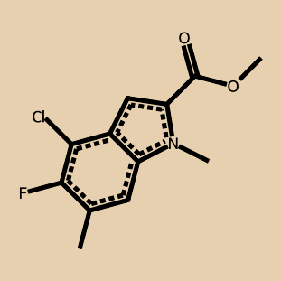 COC(=O)c1cc2c(Cl)c(F)c(C)cc2n1C